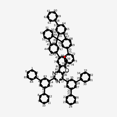 c1ccc(-c2cc(-c3ccccc3)cc(-c3nc(-c4cc(-c5ccccc5)cc(-c5ccccc5)c4)c4oc5ccc(-c6ccc7c(c6)C6(c8ccccc8-7)c7cc(-c8ccccc8)ccc7-c7ccc(-c8ccccc8)cc76)cc5c4n3)c2)cc1